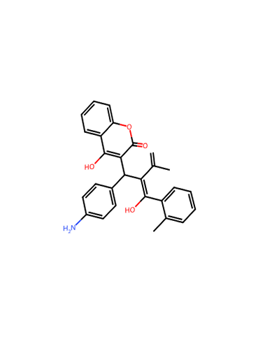 C=C(C)/C(=C(/O)c1ccccc1C)C(c1ccc(N)cc1)c1c(O)c2ccccc2oc1=O